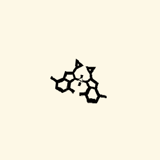 Cc1ccc(C)c2c1C=C(C1CC1)C2[Si](C)(C)C1C(C2CC2)=Cc2c(C)ccc(C)c21